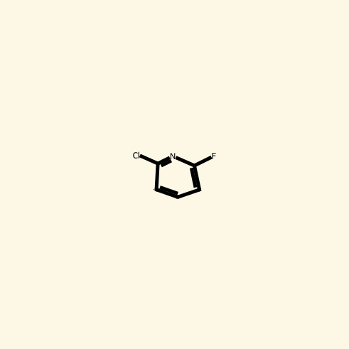 Fc1cc[c]c(Cl)n1